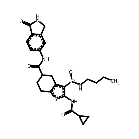 CCCCN[S+]([O-])c1c(NC(=O)C2CC2)sc2c1CC(C(=O)Nc1ccc3c(c1)CNC3=O)CC2